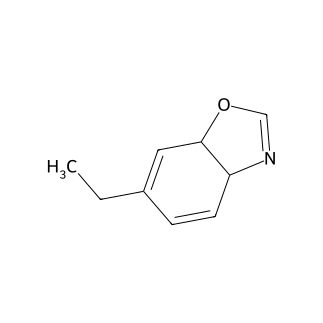 CCC1=CC2OC=NC2C=C1